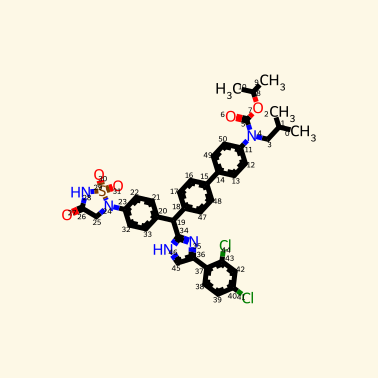 CC(C)CN(C(=O)OC(C)C)c1ccc(-c2ccc(C(c3ccc(N4CC(=O)NS4(=O)=O)cc3)c3nc(-c4ccc(Cl)cc4Cl)c[nH]3)cc2)cc1